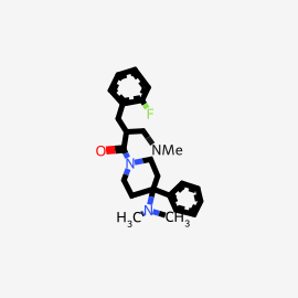 CNCC(Cc1ccccc1F)C(=O)N1CCC(c2ccccc2)(N(C)C)CC1